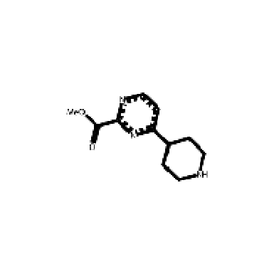 COC(=O)c1nccc(C2CCNCC2)n1